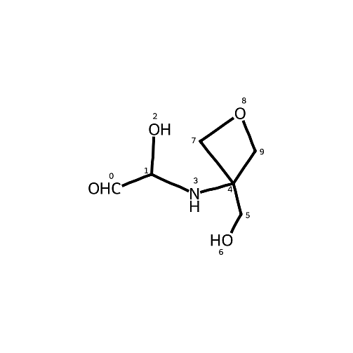 O=CC(O)NC1(CO)COC1